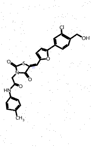 Cc1ccc(NC(=O)CN2C(=O)S/C(=C\c3ccc(-c4ccc(CO)c(Cl)c4)o3)C2=O)cc1